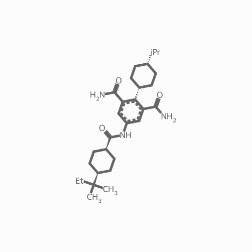 CCC(C)(C)[C@H]1CC[C@@H](C(=O)Nc2cc(C(N)=O)c([C@H]3CC[C@@H](C(C)C)CC3)c(C(N)=O)c2)CC1